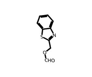 O=COCc1nc2ccccc2s1